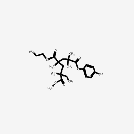 CCC(C)(CC(C)(CC(C)(C)C(=O)Oc1ccc(O)cc1)C(=O)OCCO)C(=O)OC